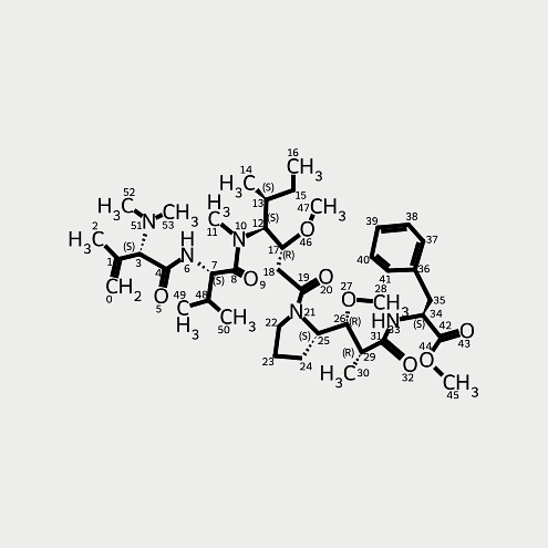 C=C(C)[C@@H](C(=O)N[C@H](C(=O)N(C)[C@@H]([C@@H](C)CC)[C@@H](CC(=O)N1CCC[C@H]1[C@H](OC)[C@@H](C)C(=O)N[C@@H](Cc1ccccc1)C(=O)OC)OC)C(C)C)N(C)C